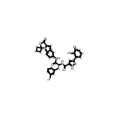 O=C(N[C@@H](Cc1cccc(F)c1)C(=O)Nc1ccc2c(c1)cc1n2C2(CCC2)OC1=O)c1cc(-c2cccc(Cl)c2F)n[nH]1